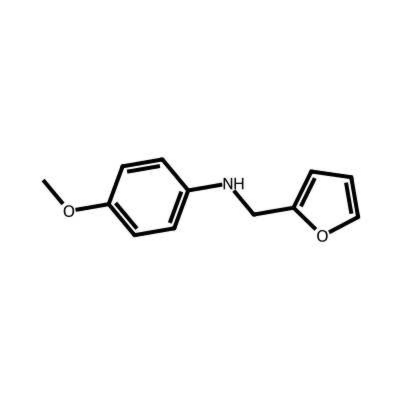 COc1ccc(NCc2ccco2)cc1